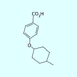 CC1CCC(Oc2ccc(C(=O)O)cc2)CC1